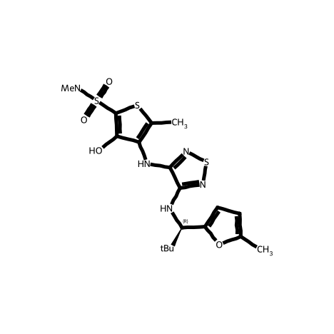 CNS(=O)(=O)c1sc(C)c(Nc2nsnc2N[C@@H](c2ccc(C)o2)C(C)(C)C)c1O